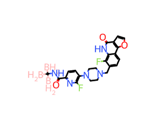 BC(B)(B)NC(=O)c1ccc(N2CCN(Cc3ccc4c([nH]c(=O)c5ccoc54)c3F)CC2)c(F)n1